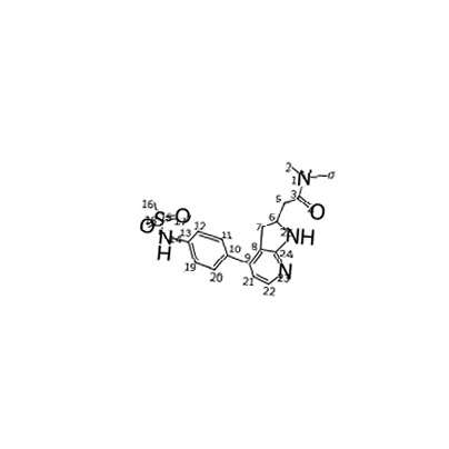 CN(C)C(=O)CC1Cc2c(-c3ccc(NS(C)(=O)=O)cc3)ccnc2N1